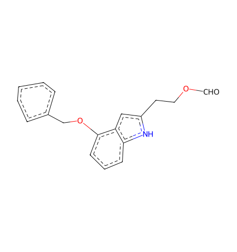 O=COCCc1cc2c(OCc3ccccc3)cccc2[nH]1